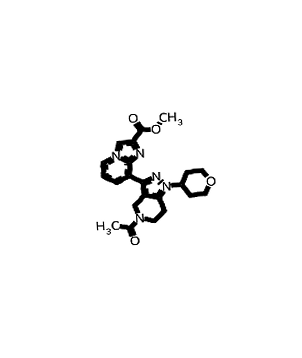 COC(=O)c1cn2cccc(-c3nn(C4CCOCC4)c4c3CN(C(C)=O)CC4)c2n1